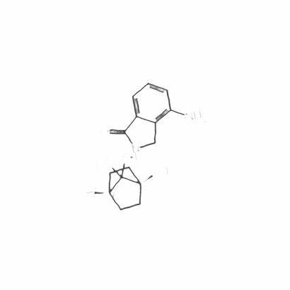 CC1(C)[C@@H]2CC[C@@]1(C)[C@@H](N1Cc3c(N)cccc3C1=O)C2